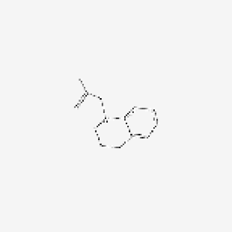 C=C(C)CN1CCCc2ccccc21